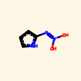 O[N+](O)=Nc1ccc[nH]1